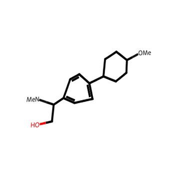 CNC(CO)c1ccc(C2CCC(OC)CC2)cc1